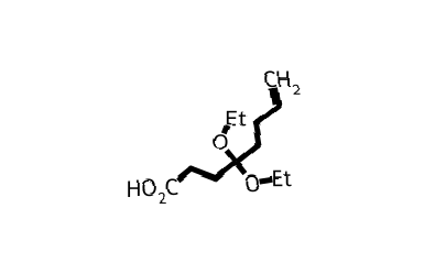 C=CCCC(CCC(=O)O)(OCC)OCC